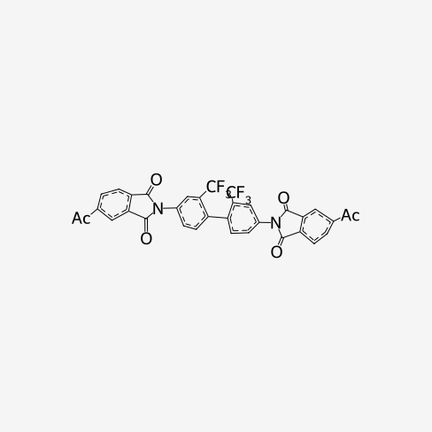 CC(=O)c1ccc2c(c1)C(=O)N(c1ccc(-c3ccc(N4C(=O)c5ccc(C(C)=O)cc5C4=O)cc3C(F)(F)F)c(C(F)(F)F)c1)C2=O